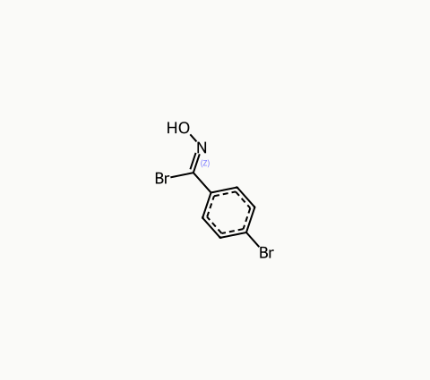 O/N=C(\Br)c1ccc(Br)cc1